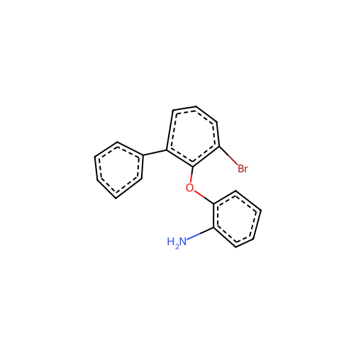 Nc1ccccc1Oc1c(Br)cccc1-c1ccccc1